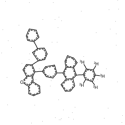 [2H]c1c([2H])c([2H])c(-c2c3ccccc3c(-c3ccc(-c4c(-c5cccc(-c6ccccc6)c5)ccc5oc6ccccc6c45)cc3)c3ccccc23)c([2H])c1[2H]